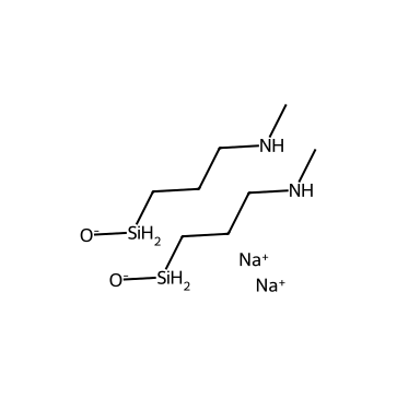 CNCCC[SiH2][O-].CNCCC[SiH2][O-].[Na+].[Na+]